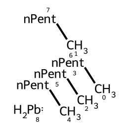 CCCCCC.CCCCCC.CCCCCC.CCCCCC.[PbH2]